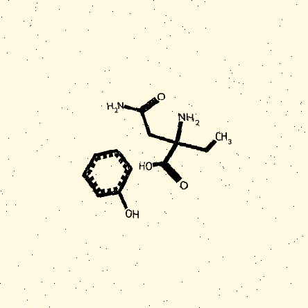 CCC(N)(CC(N)=O)C(=O)O.Oc1ccccc1